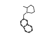 CC1CCCCN1[CH]c1ccc2ccccc2c1